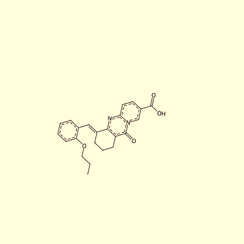 CCCOc1ccccc1C=C1CCCc2c1nc1ccc(C(=O)O)cn1c2=O